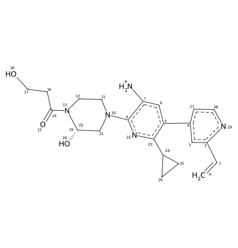 C=Cc1cc(-c2cc(N)c(N3CCN(C(=O)CCO)[C@@H](O)C3)nc2C2CC2)ccn1